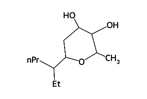 CCCC(CC)C1CC(O)C(O)C(C)O1